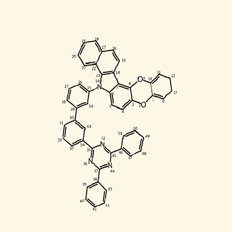 C1=C2Oc3ccc4c(c3OC2=CCC1)c1ccc2ccccc2c1n4-c1cccc(-c2cccc(-c3nc(-c4ccccc4)nc(-c4ccccc4)n3)c2)c1